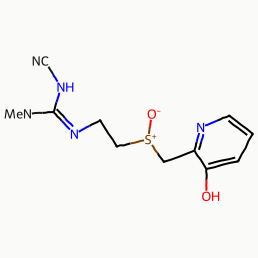 CN/C(=N/CC[S+]([O-])Cc1ncccc1O)NC#N